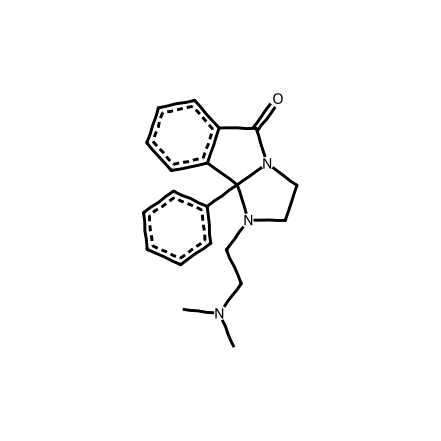 CN(C)CCN1CCN2C(=O)c3ccccc3C12c1ccccc1